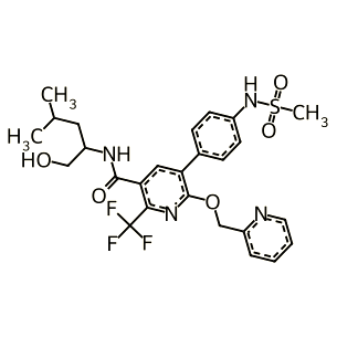 CC(C)CC(CO)NC(=O)c1cc(-c2ccc(NS(C)(=O)=O)cc2)c(OCc2ccccn2)nc1C(F)(F)F